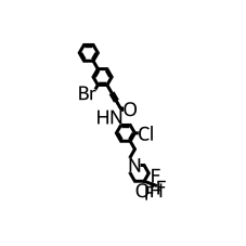 O=C(C#Cc1ccc(-c2ccccc2)cc1Br)Nc1ccc(CCN2CCC(O)(C(F)(F)F)CC2)c(Cl)c1